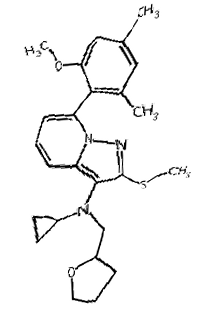 COc1cc(C)cc(C)c1-c1cccc2c(N(CC3CCCO3)C3CC3)c(SC)nn12